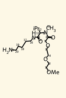 COCCOCCOCC(=O)N(C)C(C(=O)NCCCCCN)C(C)C